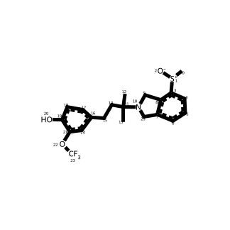 C[S+]([O-])c1cccc2c1CN(C(C)(C)CCc1ccc(O)c(OC(F)(F)F)c1)C2